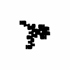 CCOCC.O=C(OCCO)c1cccc(C(=O)OCCO)c1.Oc1ccc(O)cc1